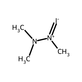 CN(C)[N+](C)=[I-]